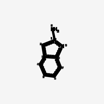 Nn1cc2ccccc2n1